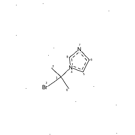 CC(C)(Br)n1ccnc1